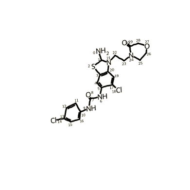 NC1Sc2cc(NC(=O)Nc3ccc(Cl)cc3)c(Cl)cc2N1CCN1CCOCC1=O